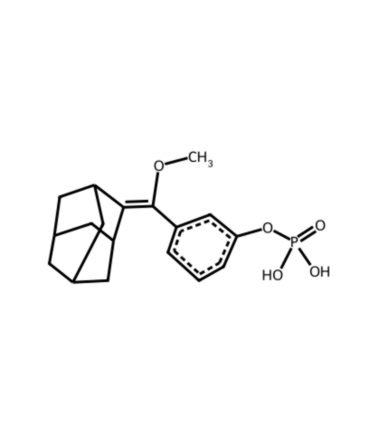 COC(=C1C2CC3CC(C2)CC1C3)c1cccc(OP(=O)(O)O)c1